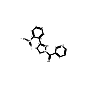 O=C(c1cccnc1)N1CCC(c2ccccc2[N+](=O)[O-])=N1